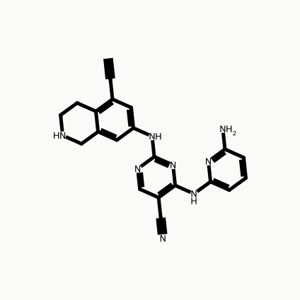 C#Cc1cc(Nc2ncc(C#N)c(Nc3cccc(N)n3)n2)cc2c1CCNC2